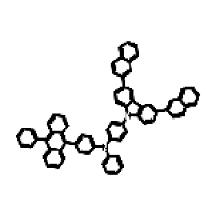 c1ccc(-c2c3ccccc3c(-c3ccc(N(c4ccccc4)c4ccc(-n5c6ccc(-c7ccc8ccccc8c7)cc6c6cc(-c7ccc8ccccc8c7)ccc65)cc4)cc3)c3ccccc23)cc1